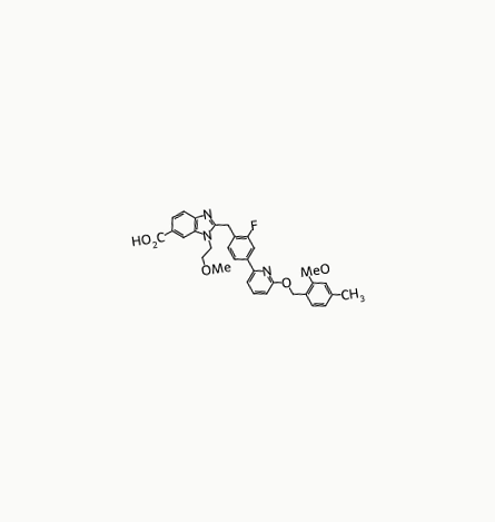 COCCn1c(Cc2ccc(-c3cccc(OCc4ccc(C)cc4OC)n3)cc2F)nc2ccc(C(=O)O)cc21